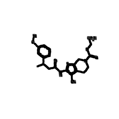 CCOc1cccc(C(C)CC(=O)Nc2sc3c(c2C#N)CCN(C(=O)OCC(=O)O)C3)c1